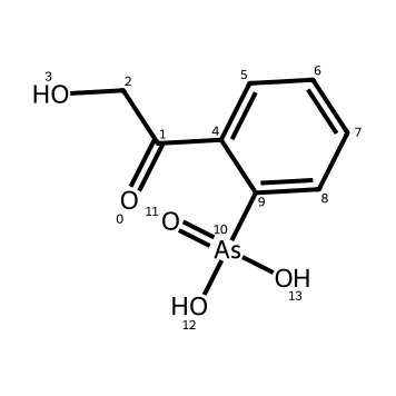 O=C(CO)c1ccccc1[As](=O)(O)O